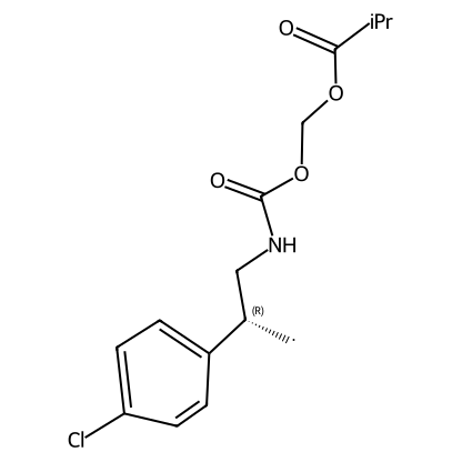 [CH2][C@@H](CNC(=O)OCOC(=O)C(C)C)c1ccc(Cl)cc1